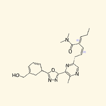 CC/C=C(\C=C/Cc1cnc(C)c(-c2nnc(C3C=CC=C(CO)C3)o2)n1)C(=O)N(C)C